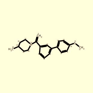 C=C(c1cccc(-c2ccc(SC)cc2)c1)N1CCC(C)CC1